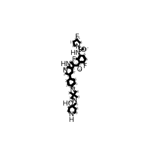 O=C(c1c(F)ccc(N[S+]([O-])N2CCC(F)C2)c1F)c1c[nH]c2ncc(-c3ccc(N4CC5(CN(CC6(O)CCNCC6)C5)C4)cc3)cc12